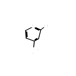 Bc1cc(O)ccn1